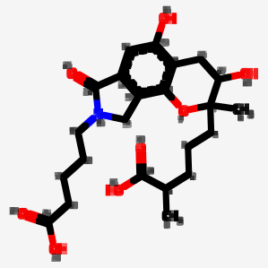 CC(CCCC1(C)Oc2c(c(O)cc3c2CN(CCCCC(=O)O)C3=O)CC1O)C(=O)O